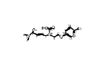 CN(C)C(=O)C=CCN(CCOc1ccc(I)nc1)C(=O)O